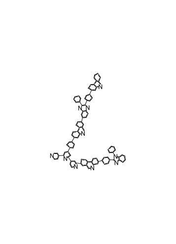 c1ccc(-c2nc3cc(-c4ccc5c(cnc6cc(-c7ccc(-c8cc(-c9ccncc9)nc(-c9ccnc(-c%10ccc%11c(cnc%12cc(-c%13ccc(-c%14nc%15ccccc%15n%14-c%14ccccc%14)cc%13)ccc%12%11)c%10)c9)c8)cc7)ccc65)c4)ccc3nc2-c2ccc(-c3ccc4c(c3)ncc3ccccc34)cc2)cc1